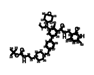 CCN(c1cc(-c2ccc(CN3CCN(CCNC(=O)OC(C)(C)C)CC3)cc2)cc(C(=O)NCc2c(C)cc(C)[nH]c2=O)c1C)C1CCOCC1